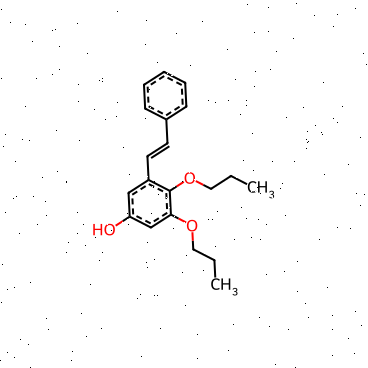 CCCOc1cc(O)cc(C=Cc2ccccc2)c1OCCC